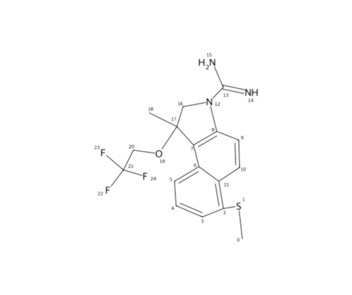 CSc1cccc2c3c(ccc12)N(C(=N)N)CC3(C)OCC(F)(F)F